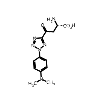 CN(C)c1ccc(-n2nnc(C(=O)C[C@H](N)C(=O)O)n2)cc1